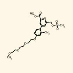 COCCOCCOCCOc1ccc(-c2cc(COS(C)(=O)=O)nc(C(=O)OS)c2)c(C)c1